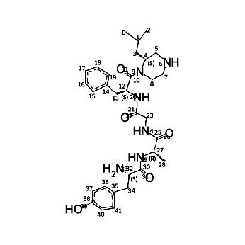 CC(C)C[C@H]1CNCCN1C(=O)[C@H](Cc1ccccc1)NC(=O)CNC(=O)[C@@H](C)NC(=O)[C@@H](N)Cc1ccc(O)cc1